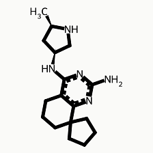 C[C@@H]1C[C@H](Nc2nc(N)nc3c2CCCC32CCCC2)CN1